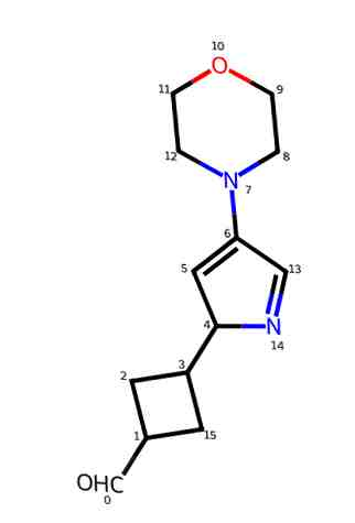 O=CC1CC(C2C=C(N3CCOCC3)C=N2)C1